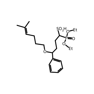 CCOP(=O)(OCC)C(CCC(OCCCC=C(C)C)c1ccccc1)S(=O)(=O)O